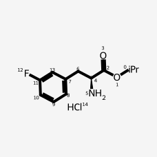 CC(C)OC(=O)[C@@H](N)Cc1cccc(F)c1.Cl